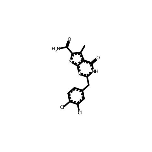 Cc1c(C(N)=O)sc2nc(Cc3ccc(Cl)c(Cl)c3)[nH]c(=O)c12